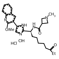 CCC(=O)CCCCC[C@H](NC(=O)C1CN(C)C1)c1ncc(-c2cc3ccccc3nc2OC)[nH]1.Cl.Cl